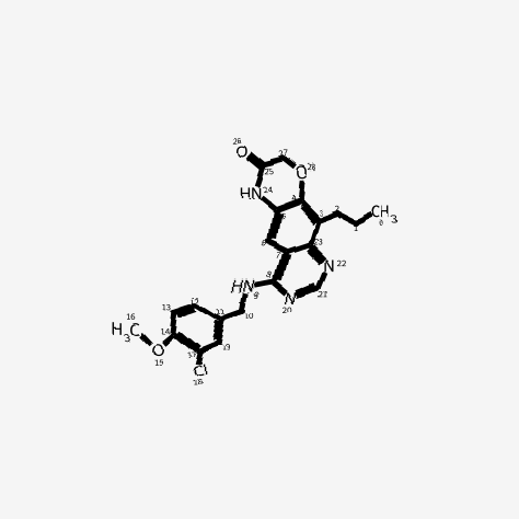 CCCc1c2c(cc3c(NCc4ccc(OC)c(Cl)c4)ncnc13)NC(=O)CO2